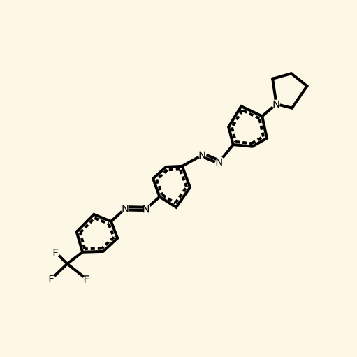 FC(F)(F)c1ccc(N=Nc2ccc(N=Nc3ccc(N4CCCC4)cc3)cc2)cc1